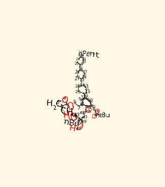 C=C(C)C(=O)OCCc1cc(C2CCC(C3CCC(C4CCC(CCCCC)CC4)CC3)CC2)cc(CCOC(=O)C(C)(C)C)c1OCCC(CO)(CO)CCCC